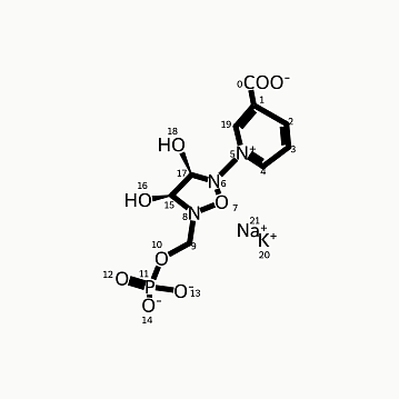 O=C([O-])c1ccc[n+](N2ON(COP(=O)([O-])[O-])[C@@H](O)[C@H]2O)c1.[K+].[Na+]